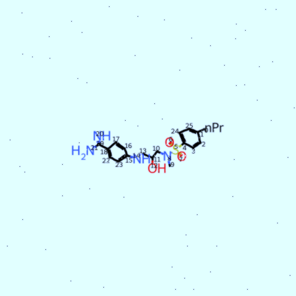 CCCc1ccc(S(=O)(=O)N(C)CC(O)CNc2ccc(C(=N)N)cc2)cc1